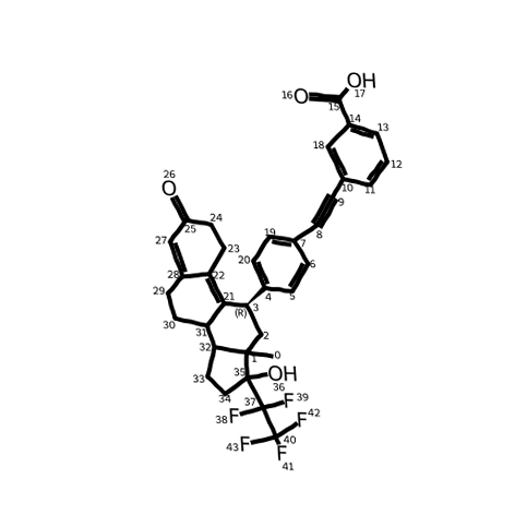 CC12C[C@H](c3ccc(C#Cc4cccc(C(=O)O)c4)cc3)C3=C4CCC(=O)C=C4CCC3C1CCC2(O)C(F)(F)C(F)(F)F